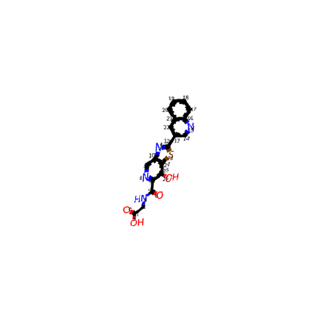 O=C(O)CNC(=O)c1ncc2nc(-c3cnc4ccccc4c3)sc2c1O